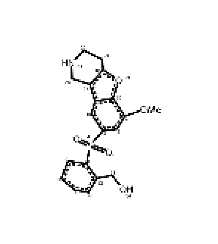 COc1cc(S(=O)(=O)c2ccccc2CO)cc2c3c(oc12)CCNC3